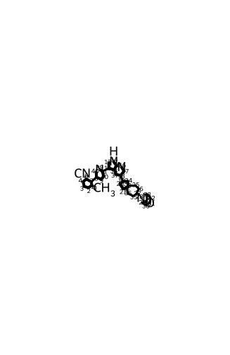 Cc1cccc(C#N)c1-c1ccc(-c2c[nH]c3ncc(-c4ccc5c(c4)CC[C@@H](N4C6COCC4C6)CC5)cc23)nc1